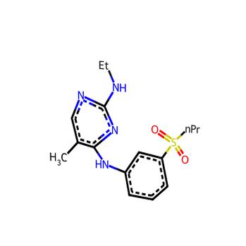 CCCS(=O)(=O)c1cccc(Nc2nc(NCC)ncc2C)c1